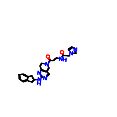 O=C(Cn1ccnc1)NCCC(=O)N1CCc2nc(NC3Cc4ccccc4C3)ncc2C1